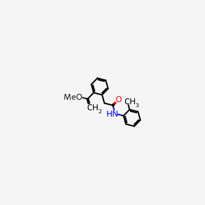 C=C(OC)c1ccccc1CC(=O)Nc1ccccc1C